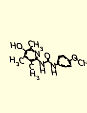 COc1ccc(NC(=O)Nc2nc(C)c(O)c(C)c2C)cc1